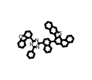 c1ccc(-c2nc(-c3ccc(-c4cc5ccc6ccccc6c5c5sc6cc7ccccc7cc6c45)c4ccccc34)nc(-c3cccc4oc5ccccc5c34)n2)cc1